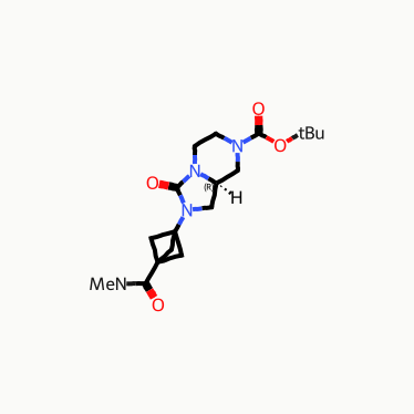 CNC(=O)C12CC(N3C[C@@H]4CN(C(=O)OC(C)(C)C)CCN4C3=O)(C1)C2